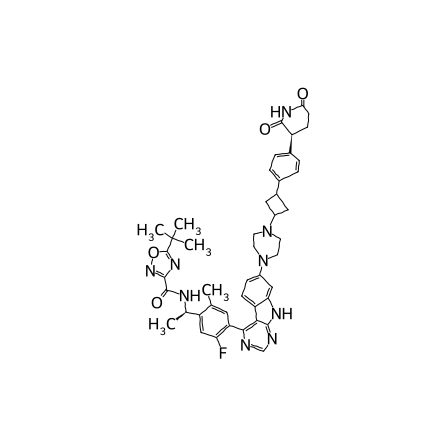 Cc1cc(-c2ncnc3[nH]c4cc(N5CCN(C6CC(c7ccc([C@@H]8CCC(=O)NC8=O)cc7)C6)CC5)ccc4c23)c(F)cc1[C@@H](C)NC(=O)c1noc(C(C)(C)C)n1